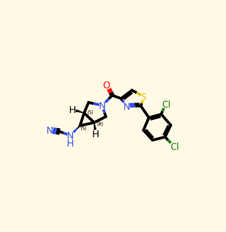 N#CN[C@H]1[C@@H]2CN(C(=O)c3csc(-c4ccc(Cl)cc4Cl)n3)C[C@@H]21